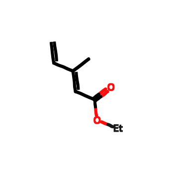 C=C/C(C)=C/C(=O)OCC